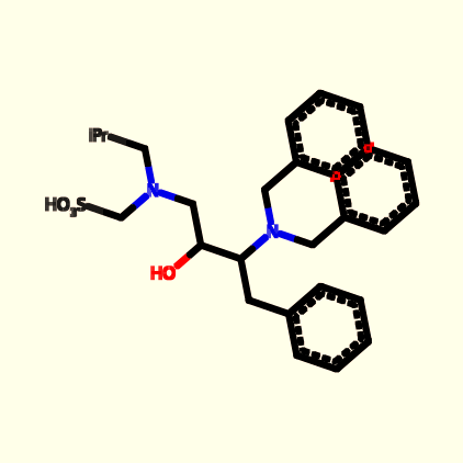 CC(C)CN(CC(O)C(Cc1ccccc1)N(Cc1ccccc1)Cc1ccccc1)CS(=O)(=O)O